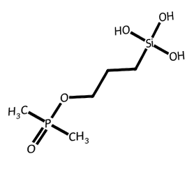 CP(C)(=O)OCCC[Si](O)(O)O